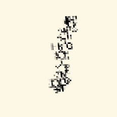 O=C(Nc1ccc(C2CCN(C(=O)c3cccc(F)c3F)CC2)cc1)[C@H]1CCN(c2cccnn2)C1